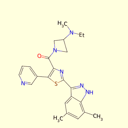 CCN(C)C1CN(C(=O)c2nc(-c3n[nH]c4c(C)cc(C)cc34)sc2-c2cccnc2)C1